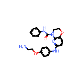 NCCOc1ccc(Nc2ccc3c(n2)N(C(=O)Nc2ccccc2)CCO3)cc1